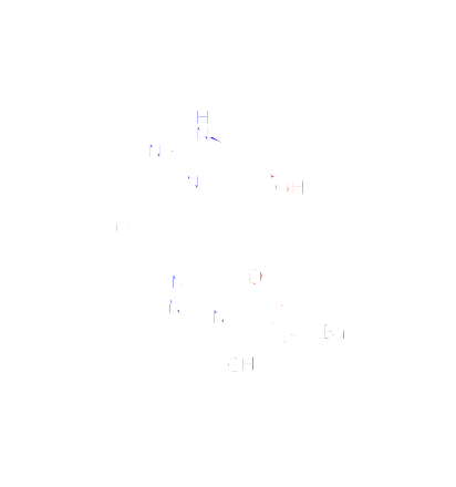 CC(C(=O)OC(C)(C)C)n1cnn2cc(-c3nc(N[C@H]4CC[C@@H](O)C4)ncc3Cl)cc2c1=O